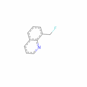 FCc1cccc2cccnc12